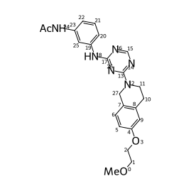 COCCOc1ccc2c(c1)CCN(c1ncnc(Nc3cccc(NC(C)=O)c3)n1)C2